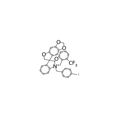 [CH]c1ccc(C[N+]2(Cc3ccccc3C(F)(F)F)C(=O)C3(COc4cc5c(cc43)OCO5)c3ccccc32)cc1